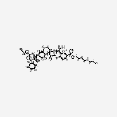 CCCCCCCCOC(=O)c1ccc(CCC(=O)N2CCCc3cc(N(CC(=O)OCC)S(=O)(=O)c4ccccc4)ccc32)c(C(=N)N)c1